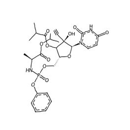 C#C[C@@]1(O)C(OC(=O)C(C)C)[C@@H](COP(=O)(N[C@@H](C)C(=O)OC(C)C)Oc2ccccc2)O[C@@H]1n1ccc(=O)[nH]c1=O